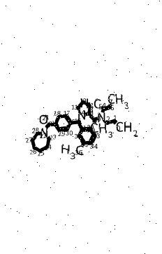 C=CCN(C(C)CC)C(C)C1CCCN1C(C1=CCC(C(=O)N2CCCCCC2)C=C1)c1cccc(C)c1